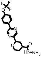 NNC(=O)C1CCOC(c2cnc(-c3ccc(OC(F)(F)F)cc3)cn2)C1